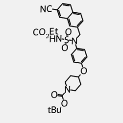 CCOC(=O)NS(=O)(=O)N(Cc1ccc2ccc(C#N)cc2c1)c1ccc(OC2CCN(C(=O)OC(C)(C)C)CC2)cc1